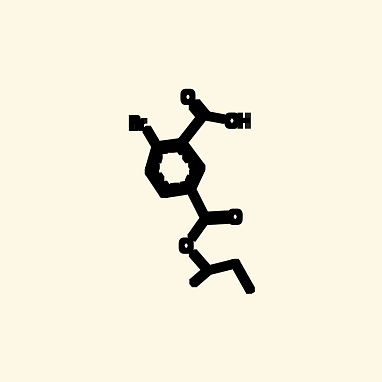 CCC(C)OC(=O)c1ccc(Br)c(C(=O)O)c1